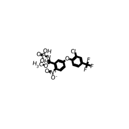 COC(=NP(=O)(O)O)c1cc(Oc2ccc(C(F)(F)F)cc2Cl)ccc1[N+](=O)[O-]